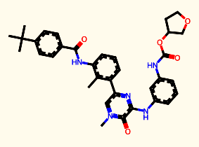 Cc1c(NC(=O)c2ccc(C(C)(C)C)cc2)cccc1-c1cn(C)c(=O)c(Nc2cccc(NC(=O)OC3CCOC3)c2)n1